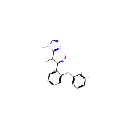 ON=C(c1ccccc1Cc1ccccc1)C(Cl)c1nncn1Cl